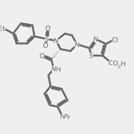 CCCc1ccc(CNC(=O)[C@H]2CN(c3nc(Cl)c(C(=O)O)s3)CCN2S(=O)(=O)c2ccc(CC)cc2)cc1